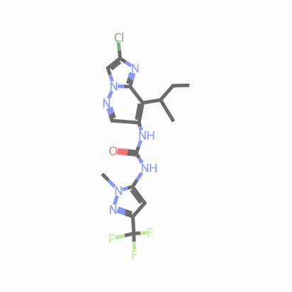 CCC(C)c1c(NC(=O)Nc2cc(C(F)(F)F)nn2C)cnn2cc(Cl)nc12